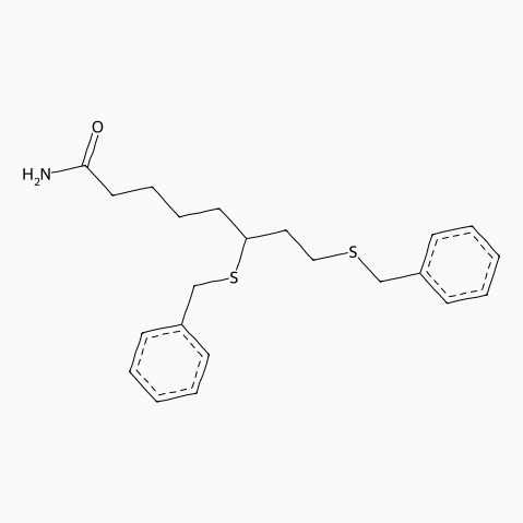 NC(=O)CCCCC(CCSCc1ccccc1)SCc1ccccc1